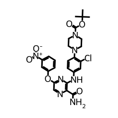 CC(C)(C)OC(=O)N1CCN(c2ccc(Nc3nc(Oc4cccc([N+](=O)[O-])c4)cnc3C(N)=O)cc2Cl)CC1